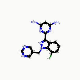 Nc1[c]c(N)nc(-c2nn(Cc3cncnc3)c3c(F)cccc23)n1